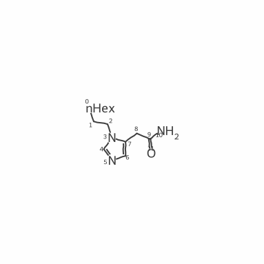 CCCCCCCCn1cncc1CC(N)=O